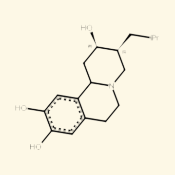 CC(C)C[C@H]1CN2CCc3cc(O)c(O)cc3C2C[C@H]1O